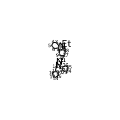 CCn1c2ccccc2c2cc(C=NN(Cc3ccccc3)c3ccccc3)ccc21